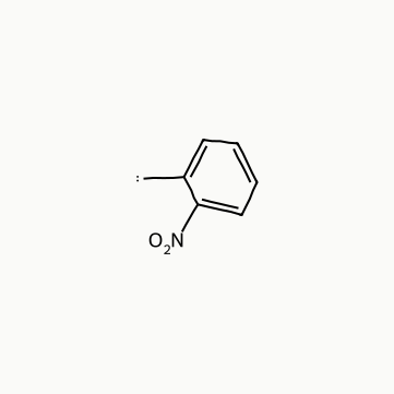 [CH]c1ccccc1[N+](=O)[O-]